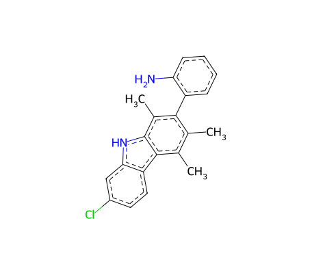 Cc1c(-c2ccccc2N)c(C)c2[nH]c3cc(Cl)ccc3c2c1C